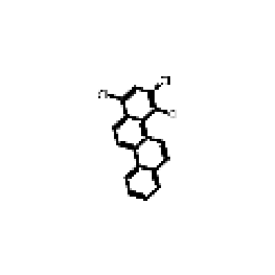 Clc1cc(Cl)c2ccc3c4ccccc4ccc3c2c1Cl